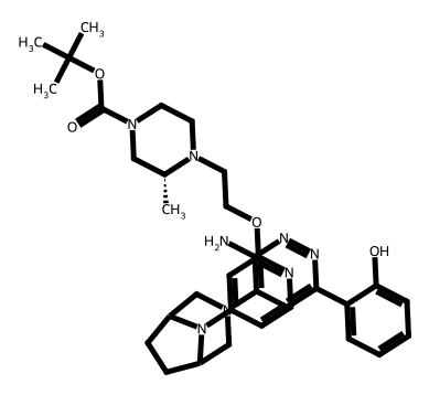 C[C@@H]1CN(C(=O)OC(C)(C)C)CCN1CCOc1cc(N2C3CCC2CN(c2cc(-c4ccccc4O)nnc2N)C3)ccn1